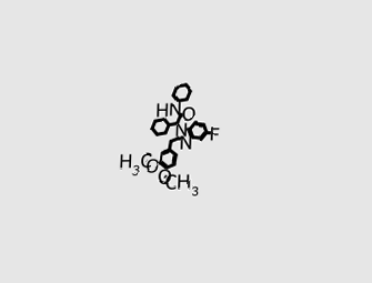 COc1ccc(Cc2nc3cc(F)ccc3n2C(C(=O)NC2CCCCC2)C2CCCCC2)cc1OC